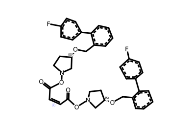 O=C(/C=C\C(=O)ON1CC[C@H](OCc2ccccc2-c2ccc(F)cc2)C1)ON1CC[C@H](OCc2ccccc2-c2ccc(F)cc2)C1